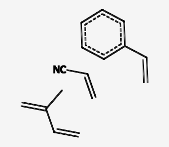 C=CC#N.C=CC(=C)C.C=Cc1ccccc1